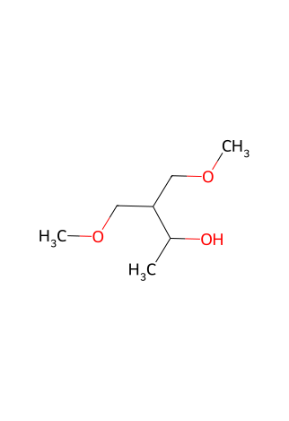 COCC(COC)C(C)O